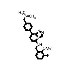 COc1c(F)cccc1CNc1ccc(-c2ccc(CN(C)C)cc2)c2nncn12